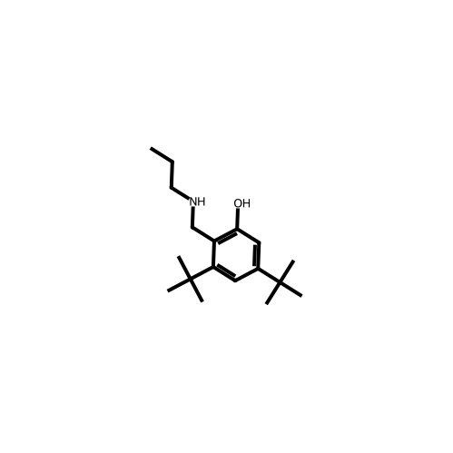 CCCNCc1c(O)cc(C(C)(C)C)cc1C(C)(C)C